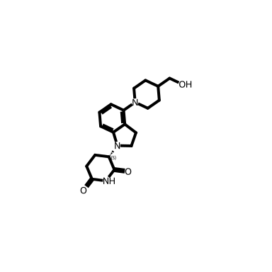 O=C1CC[C@H](N2CCc3c(N4CCC(CO)CC4)cccc32)C(=O)N1